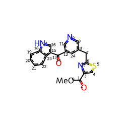 COC(=O)c1csc(Cc2cncc(C(=O)c3c[nH]c4ccccc34)c2)n1